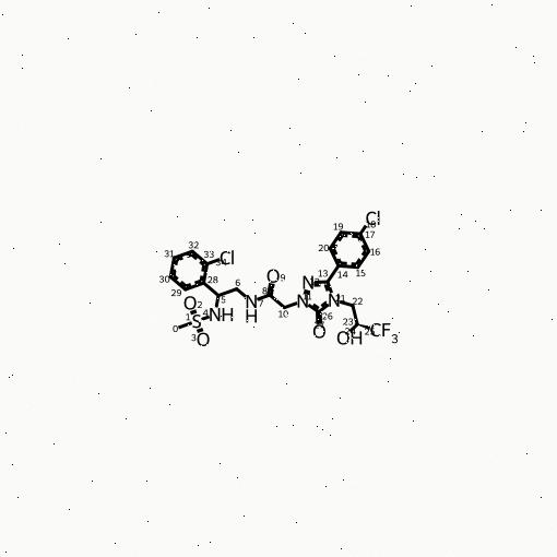 CS(=O)(=O)NC(CNC(=O)Cn1nc(-c2ccc(Cl)cc2)n(C[C@H](O)C(F)(F)F)c1=O)c1ccccc1Cl